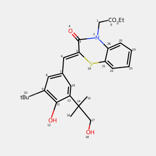 CCOC(=O)CN1C(=O)C(=Cc2cc(C(C)(C)C)c(O)c(C(C)(C)CO)c2)Sc2ccccc21